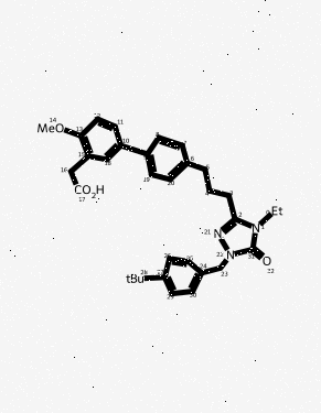 CCn1c(CCCc2ccc(-c3ccc(OC)c(CC(=O)O)c3)cc2)nn(Cc2ccc(C(C)(C)C)cc2)c1=O